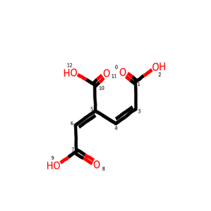 O=C(O)/C=C\C(=C/C(=O)O)C(=O)O